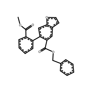 COC(=O)c1ccccc1-c1cc2occc2cc1C(=O)OCc1ccccc1